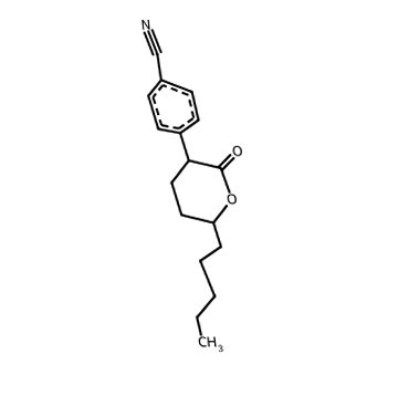 CCCCCC1CCC(c2ccc(C#N)cc2)C(=O)O1